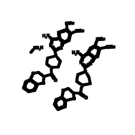 COc1cc2nc(N3CCN(C(=O)C4COc5ccccc5O4)CC3)nc(N)c2cc1OC.COc1cc2nc(N3CCN(C(=O)C4COc5ccccc5O4)CC3)nc(N)c2cc1OC.CS(=O)(=O)O